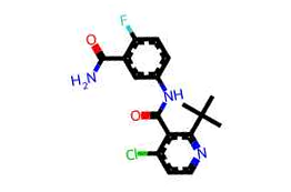 CC(C)(C)c1nccc(Cl)c1C(=O)Nc1ccc(F)c(C(N)=O)c1